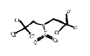 O=[SH](=O)N(CC(Cl)(Cl)Cl)CC(Cl)(Cl)Cl